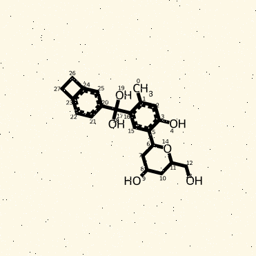 Cc1cc(O)c(C2CC(O)CC(CO)O2)cc1C(O)(O)c1ccc2c(c1)CC2